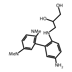 CNc1ccc(NC)c(-c2cc(N)ccc2NCC(O)CO)c1